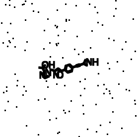 CC(O)c1nccn1Cc1cc(-c2ccc(C#CC3CNC3)cc2)on1